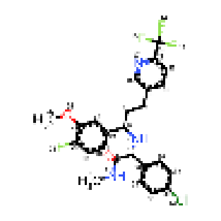 CNC(=O)[C@H](N[C@H](CCc1ccc(C(F)(F)F)nc1)c1ccc(F)c(OC)c1)c1ccc(Cl)cc1